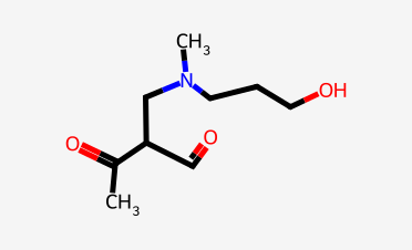 CC(=O)C(C=O)CN(C)CCCO